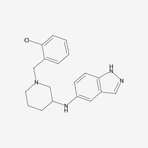 Clc1ccccc1CN1CCCC(Nc2ccc3[nH]ncc3c2)C1